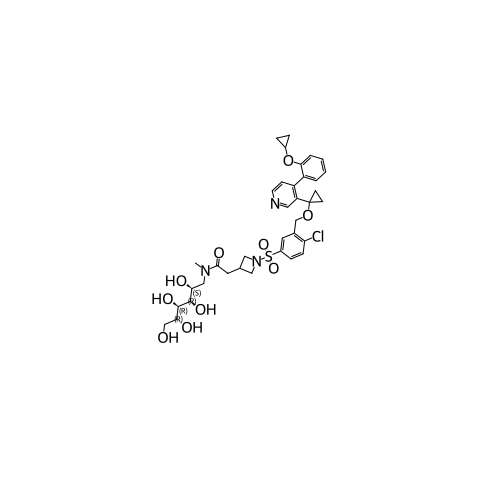 CN(C[C@H](O)[C@@H](O)[C@H](O)[C@H](O)CO)C(=O)CC1CN(S(=O)(=O)c2ccc(Cl)c(COC3(c4cnccc4-c4ccccc4OC4CC4)CC3)c2)C1